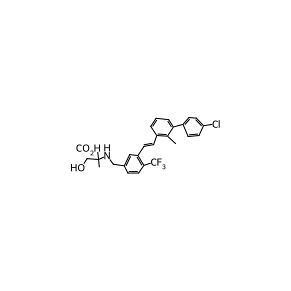 Cc1c(C=Cc2cc(CNC(C)(CO)C(=O)O)ccc2C(F)(F)F)cccc1-c1ccc(Cl)cc1